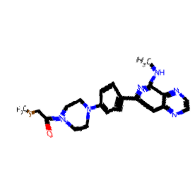 CNc1nc(-c2ccc(N3CCN(C(=O)CSC)CC3)cc2)cc2nccnc12